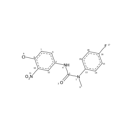 CN(C(=O)Nc1ccc(Cl)c([N+](=O)[O-])c1)c1ccc(F)cc1